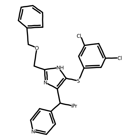 CC(C)C(c1ccncc1)c1nc(COCc2ccccc2)[nH]c1Sc1cc(Cl)cc(Cl)c1